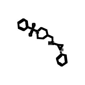 O=S(=O)(c1ccccc1)N1CCC(CNC2C[C@@H]2c2ccccc2)CC1